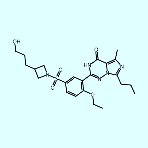 CCCc1nc(C)c2c(=O)[nH]c(-c3cc(S(=O)(=O)N4CC(CCCO)C4)ccc3OCC)nn12